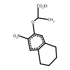 CCOC(=O)C(C)Oc1cc2c(cc1[N+](=O)[O-])CCCC2